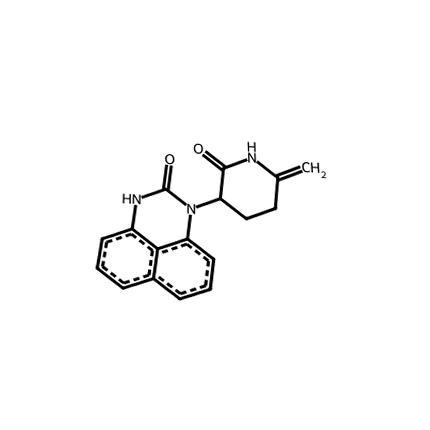 C=C1CCC(N2C(=O)Nc3cccc4cccc2c34)C(=O)N1